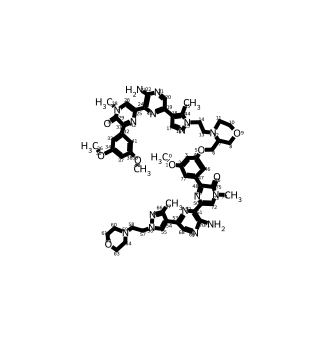 COc1cc(OCC2COCCN2CCn2ncc(-c3cnc(N)c(-c4cn(C)c(=O)c(-c5cc(OC)cc(OC)c5)n4)n3)c2C)cc(-c2nc(-c3nc(-c4cn(CCN5CCOCC5)nc4C)cnc3N)cn(C)c2=O)c1